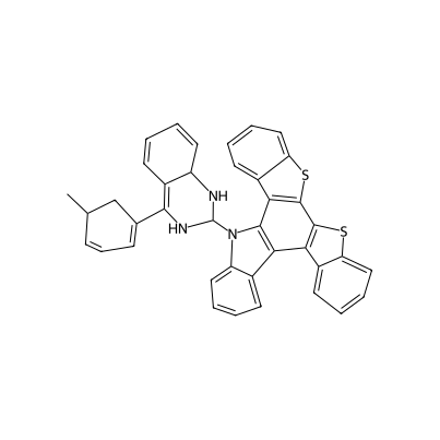 CC1C=CC=C(C2=C3C=CC=CC3NC(n3c4ccccc4c4c5c6ccccc6sc5c5sc6ccccc6c5c43)N2)C1